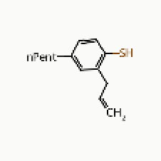 C=CCc1cc(CCCCC)ccc1S